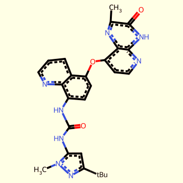 Cc1nc2c(Oc3ccc(NC(=O)Nc4cc(C(C)(C)C)nn4C)c4ncccc34)ccnc2[nH]c1=O